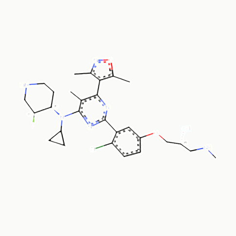 CNC[C@@H](O)COc1ccc(Cl)c(-c2nc(-c3c(C)noc3C)c(C)c(N(C3CC3)[C@@H]3CCNC[C@@H]3F)n2)c1